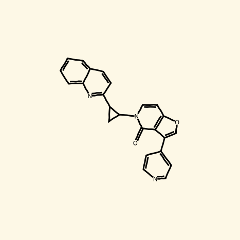 O=c1c2c(-c3ccncc3)coc2ccn1C1CC1c1ccc2ccccc2n1